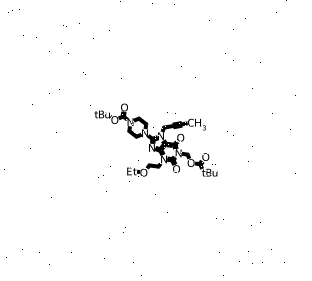 CC#CCn1c(N2CCN(C(=O)OC(C)(C)C)CC2)nc2c1c(=O)n(COC(=O)C(C)(C)C)c(=O)n2CCOCC